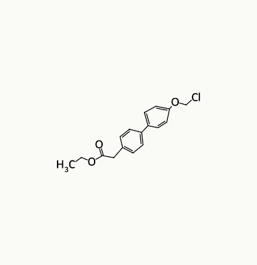 CCOC(=O)Cc1ccc(-c2ccc(OCCl)cc2)cc1